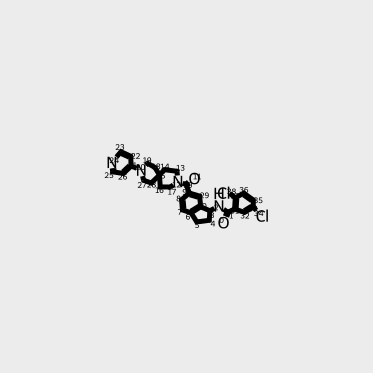 O=C(NC1CCc2ccc(C(=O)N3CCC4(CC3)CCN(c3ccncc3)CC4)cc21)c1cc(Cl)ccc1Cl